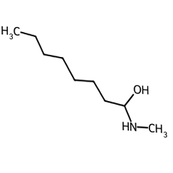 CCCCCCCC(O)NC